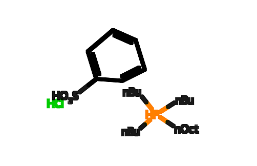 CCCCCCCC[PH](CCCC)(CCCC)CCCC.Cl.O=S(=O)(O)c1ccccc1